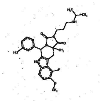 COc1ccc2[nH]c3c(c2c1F)CC1(C)C(=O)N(CCCNC(C)C)C(=O)N1C3c1cccc(O)c1